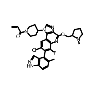 C=CC(=O)N1CCC(n2cnc3c(OCC4CCCN4C)nc4c(F)c(-c5c(C)ccc6[nH]ncc56)c(Cl)cc4c32)CC1